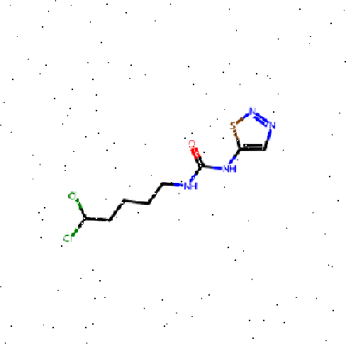 O=C(NCCCCC(Cl)Cl)Nc1cnns1